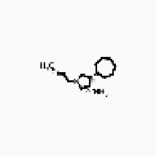 COCCN1C[C@@H](N)[C@H](C2CCCCCC2)C1